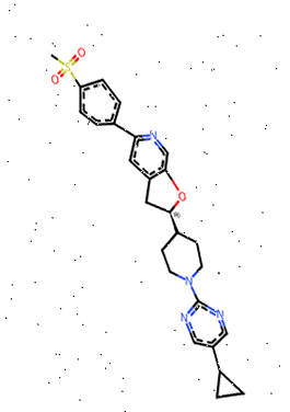 CS(=O)(=O)c1ccc(-c2cc3c(cn2)O[C@@H](C2CCN(c4ncc(C5CC5)cn4)CC2)C3)cc1